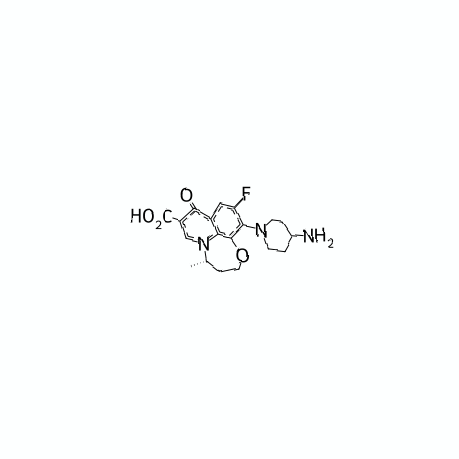 C[C@H]1CCOc2c(N3CCC(N)CC3)c(F)cc3c(=O)c(C(=O)O)cn1c23